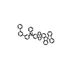 c1ccc(-c2cccc(-c3cccc(N(c4ccccc4)c4ccc5c(c4)Oc4ccc6c(c4O5)-c4ccccc4C64c5ccccc5-c5ccccc54)c3)c2)cc1